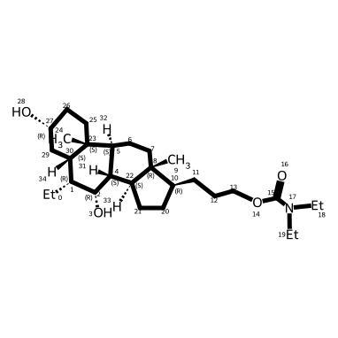 CC[C@H]1[C@@H](O)[C@@H]2[C@H](CC[C@]3(C)[C@@H](CCCOC(=O)N(CC)CC)CC[C@@H]23)[C@@]2(C)CC[C@@H](O)C[C@@H]12